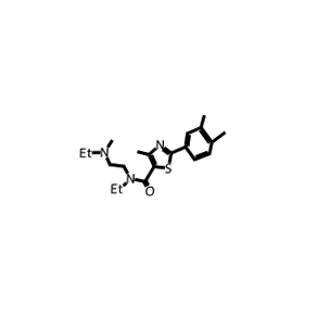 CCN(C)CCN(CC)C(=O)c1sc(-c2ccc(C)c(C)c2)nc1C